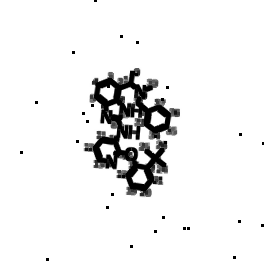 CC(c1cccc2nc(Nc3cccnc3Oc3ccccc3C(C)(C)C)[nH]c12)N(C)Cc1ccccc1